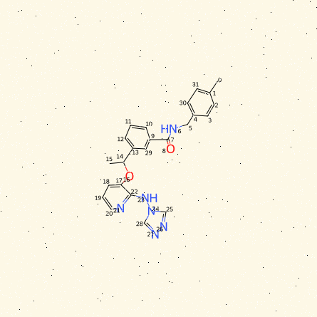 Cc1ccc(CNC(=O)c2cccc(C(C)Oc3cccnc3Nn3cnnc3)c2)cc1